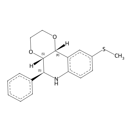 CSc1ccc2c(c1)[C@H]1OCCO[C@H]1[C@H](c1ccccc1)N2